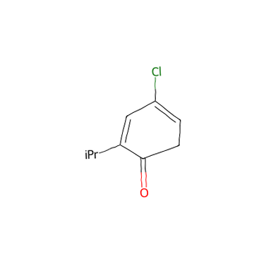 CC(C)C1=CC(Cl)=CCC1=O